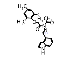 CC(=O)N(/N=C/c1cccc2[nH]ccc12)C(=O)COc1c(C)cc(C)cc1C